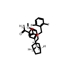 COCC(=O)N(CCN1[C@@H]2CC[C@H]1C[C@@H](c1cccc(C(N)=O)c1)C2)Cc1c(F)cccc1F